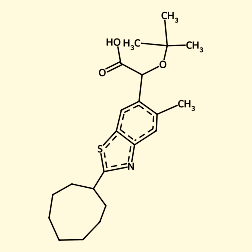 Cc1cc2nc(C3CCCCCCC3)sc2cc1C(OC(C)(C)C)C(=O)O